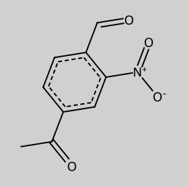 CC(=O)c1ccc(C=O)c([N+](=O)[O-])c1